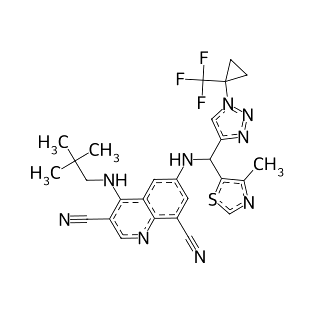 Cc1ncsc1C(Nc1cc(C#N)c2ncc(C#N)c(NCC(C)(C)C)c2c1)c1cn(C2(C(F)(F)F)CC2)nn1